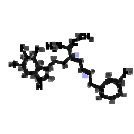 C=C=C(N)/C(=C/C=C/Cc1cccc(F)c1)CCc1c[nH]c2cc(F)c(F)c(F)c12